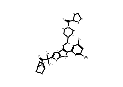 Cc1cc(C)cc(-c2[nH]c3sc(C(C)(C)C(=O)N4C5CCC4CC5)cc3c2CCN2CCN(C(=O)C3CCCO3)CC2)c1